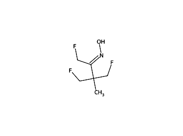 CC(CF)(CF)C(CF)=NO